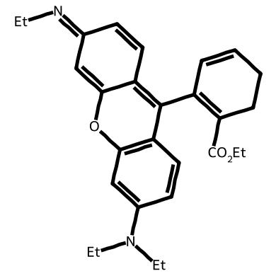 CC/N=c1/ccc2c(C3=C(C(=O)OCC)CCC=C3)c3ccc(N(CC)CC)cc3oc-2c1